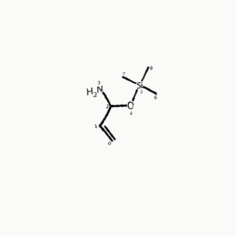 C=CC(N)O[Si](C)(C)C